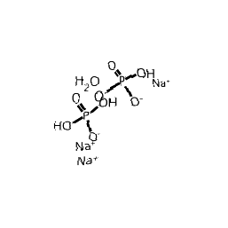 O.O=P([O-])(O)O.O=P([O-])([O-])O.[Na+].[Na+].[Na+]